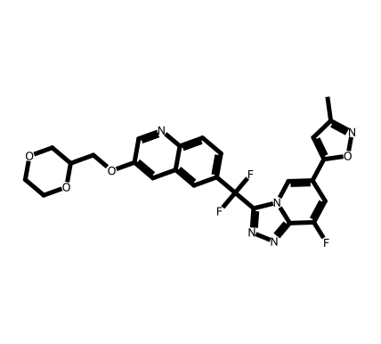 Cc1cc(-c2cc(F)c3nnc(C(F)(F)c4ccc5ncc(OCC6COCCO6)cc5c4)n3c2)on1